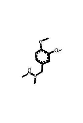 CNN(C)Cc1ccc(OC)c(O)c1